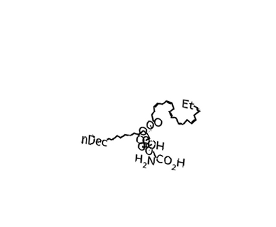 CC/C=C\C/C=C\C/C=C\C/C=C\C/C=C\C/C=C\CCC(=O)OC[C@H](COP(=O)(O)OC[C@H](N)C(=O)O)OC(=O)CCCCCCCCCCCCCCCCC